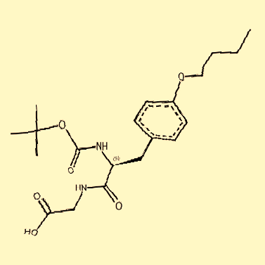 CCCCOc1ccc(C[C@H](NC(=O)OC(C)(C)C)C(=O)NCC(=O)O)cc1